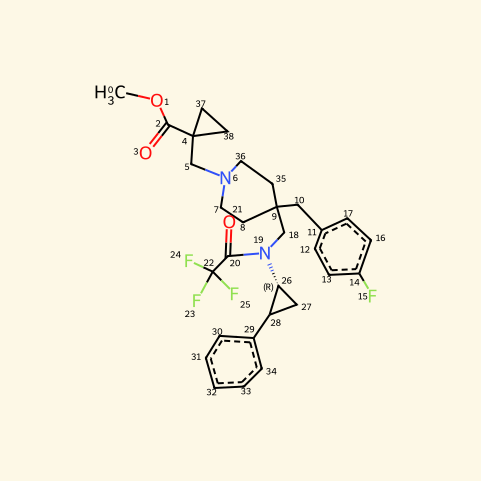 COC(=O)C1(CN2CCC(Cc3ccc(F)cc3)(CN(C(=O)C(F)(F)F)[C@@H]3CC3c3ccccc3)CC2)CC1